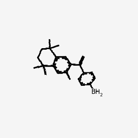 Bc1ccc(C(=C)c2cc3c(cc2C)C(C)(C)CCC3(C)C)cc1